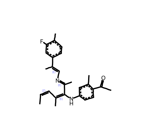 C\C=C/C(C)=C(Nc1ccc(C(C)=O)c(C)c1)\C(C)=N\C=C(/C)c1ccc(C)c(F)c1